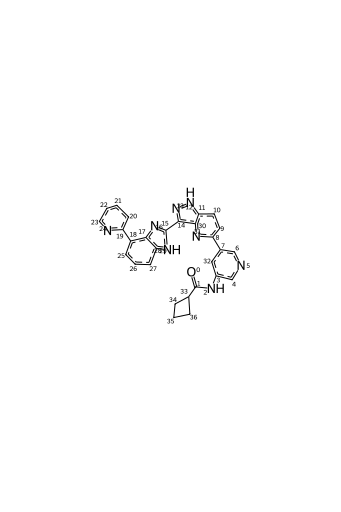 O=C(Nc1cncc(-c2ccc3[nH]nc(-c4nc5c(-c6ccccn6)cccc5[nH]4)c3n2)c1)C1CCC1